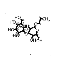 C=CCOC1OC(CO)C(O)C(OC2OC(CO)C(O)C(O)C2O)C1NC(C)=O